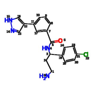 NCCC(NC(=O)c1cccc(-c2cn[nH]c2)c1)c1ccc(Cl)cc1